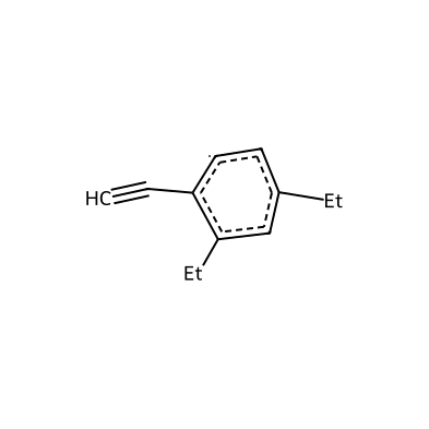 C#Cc1[c]cc(CC)cc1CC